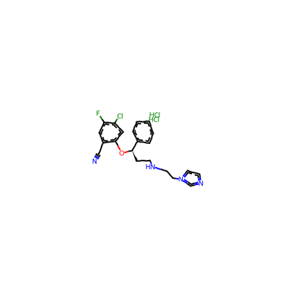 Cl.Cl.N#Cc1cc(F)c(Cl)cc1O[C@H](CCNCCn1ccnc1)c1ccccc1